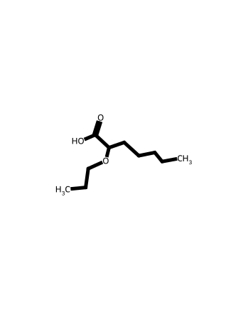 CCCCCC(OCCC)C(=O)O